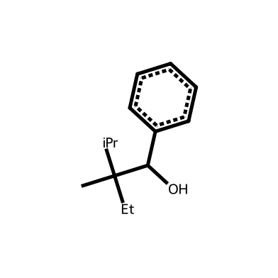 CCC(C)(C(C)C)C(O)c1ccccc1